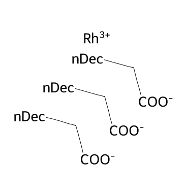 CCCCCCCCCCCC(=O)[O-].CCCCCCCCCCCC(=O)[O-].CCCCCCCCCCCC(=O)[O-].[Rh+3]